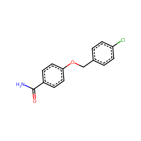 NC(=O)c1ccc(OCc2ccc(Cl)cc2)cc1